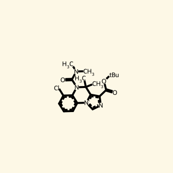 CN(C)C(=O)N1c2c(Cl)cccc2-n2cnc(C(=O)OC(C)(C)C)c2C1(C)C